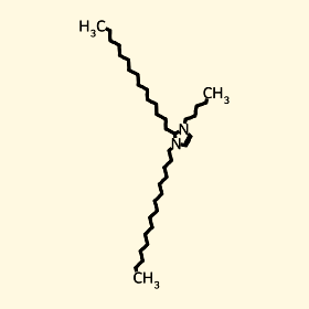 CCCCCCCCCCCCCCCCN1C=CN(CCCCC)C1CCCCCCCCCCCCCCC